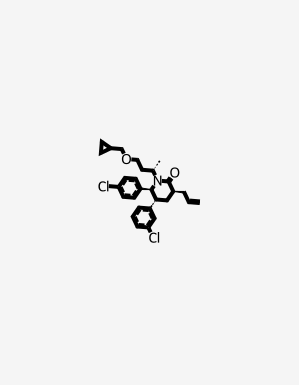 C=CC[C@H]1C[C@H](c2cccc(Cl)c2)[C@@H](c2ccc(Cl)cc2)N([C@@H](C)CCOCC2CC2)C1=O